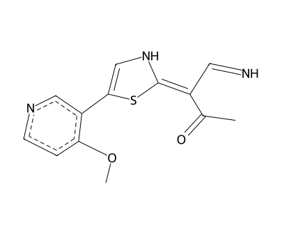 COc1ccncc1C1=CN/C(=C(\C=N)C(C)=O)S1